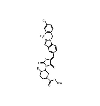 CC(C)(C)OC(=O)N1CCC(F)C(N2C(=O)SC(=Cc3ccc4c(cnn4Cc4ccc(Cl)cc4C(F)(F)F)c3)C2=O)C1